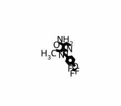 CCc1nn(-c2ccc(OC(F)(F)F)cc2)c2nccc(C(N)=O)c12